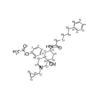 CC(=O)Oc1cccc([C@@]23CCN(CC4CC4)C[C@@]2(O)CC[C@H](NC(=O)CCCCCc2ccccc2)C3)c1